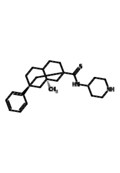 C[C@@]12CC3(C(=S)NC4CCNCC4)CCC1CC[C@](c1ccccc1)(C3)C2